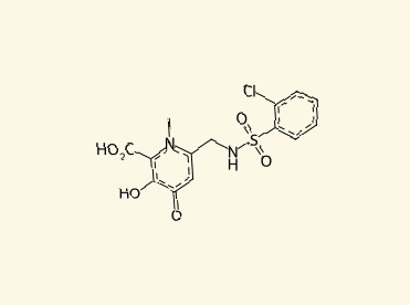 Cn1c(CNS(=O)(=O)c2ccccc2Cl)cc(=O)c(O)c1C(=O)O